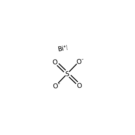 O=S(=O)([O-])[O-].[Bi+]